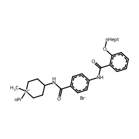 CCCCCCCOc1ccccc1C(=O)Nc1ccc(C(=O)NC2CC[N+](C)(CCC)CC2)cc1.[Br-]